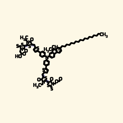 CCCCCCCCCCCCCCCCCCc1ccc2c(c1)C(C)(C)c1cc(N(c3ccc(-c4ccc(/C=c5\s/c(=C6/SC(=S)N(COC=O)C6=O)n(CC)c5=O)s4)cc3)c3ccc(-c4ccc(/C=c5\s/c(=C6/SC(=S)N(CC(=O)O)C6=O)n(CC)c5=O)s4)cc3)ccc1-2